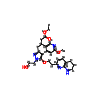 CCOC(=O)CC(Cc1cc(OCCc2ccc3c(n2)NCCC3)n(CCO)n1)c1ccc(OC)nc1